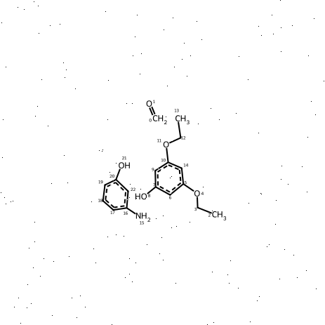 C=O.CCOc1cc(O)cc(OCC)c1.Nc1cccc(O)c1